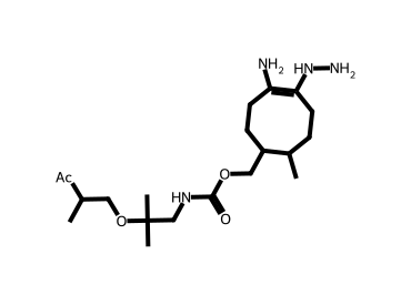 CC(=O)C(C)COC(C)(C)CNC(=O)OCC1CC/C(N)=C(/NN)CCC1C